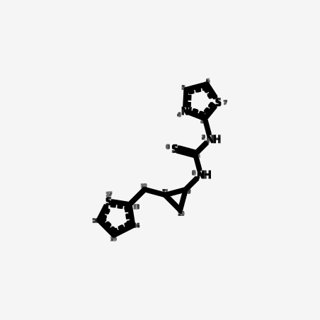 S=C(Nc1nccs1)NC1CC1Cc1cccs1